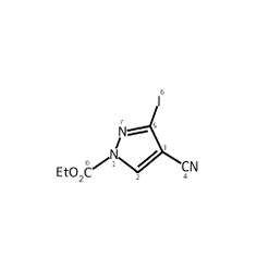 CCOC(=O)n1cc(C#N)c(I)n1